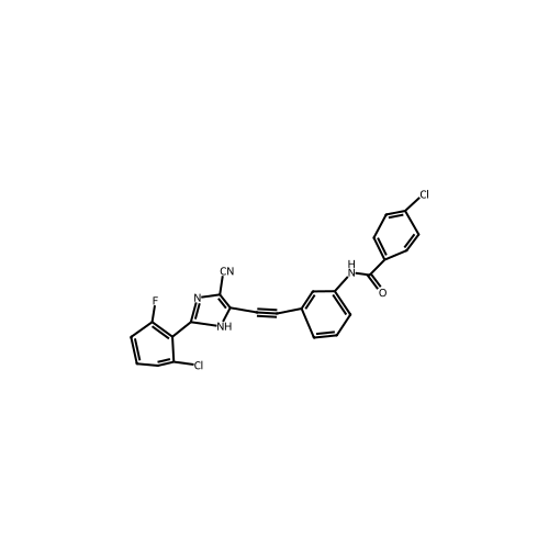 N#Cc1nc(-c2c(F)cccc2Cl)[nH]c1C#Cc1cccc(NC(=O)c2ccc(Cl)cc2)c1